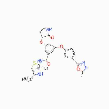 CC[C@]1(NC(=O)c2cc(Oc3ccc(-c4nnc(C)o4)cc3)cc(OC3CCNC3=O)c2)NC(C(=O)O)=CS1